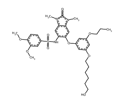 CCCOc1cc(OCCCCCCO)cc(Oc2cc3c(cc2NS(=O)(=O)c2ccc(OC)c(OC)c2)n(C)c(=O)n3C)c1